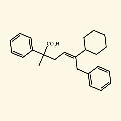 CC(C/C=C(\Cc1ccccc1)C1CCCCC1)(C(=O)O)c1ccccc1